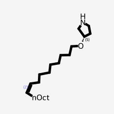 CCCCCCCC/C=C\CCCCCCCCO[C@H]1CCNC1